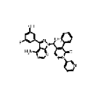 CC(c1cnn(-c2cccnc2)c(=O)c1-c1ccccc1)n1nc(-c2cc(O)cc(F)c2)c2c(N)ncnc21